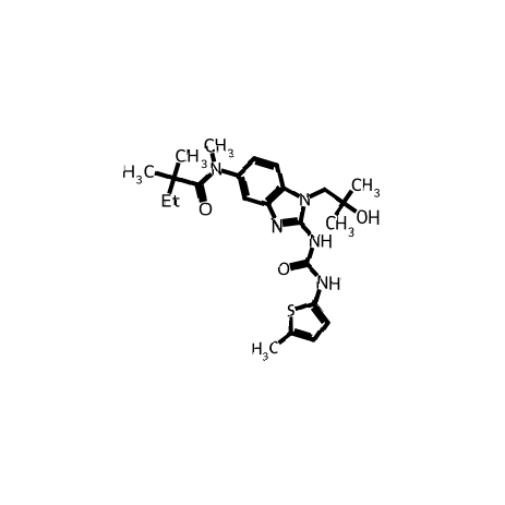 CCC(C)(C)C(=O)N(C)c1ccc2c(c1)nc(NC(=O)Nc1ccc(C)s1)n2CC(C)(C)O